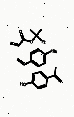 C=C(C)c1ccc(O)cc1.C=CC(=O)OC(C)(C)CC.C=Cc1ccc(C(C)(C)C)cc1